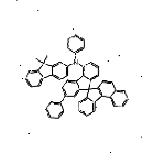 CC1(C)c2ccccc2-c2ccc(N(c3ccccc3)c3cccc4c3-c3ccc(-c5ccccc5)cc3C43c4ccccc4-c4c3ccc3ccccc43)cc21